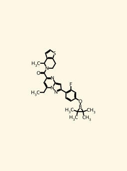 CCc1cc(C(=O)N2CCc3sccc3C2C)nc2cc(-c3ccc(OB4C(C)(C)C4(C)C)cc3F)nn12